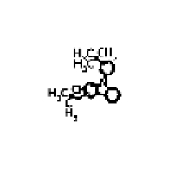 CC(C)(C)Cc1ccc2c(c1)c1ccccc1n2-c1cccc(C(C)(C)C)c1